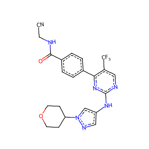 N#CCNC(=O)c1ccc(-c2nc(Nc3cnn(C4CCOCC4)c3)ncc2C(F)(F)F)cc1